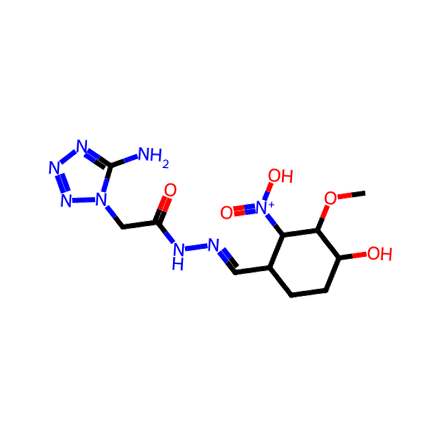 COC1C(O)CCC(/C=N/NC(=O)Cn2nnnc2N)C1[N+](=O)O